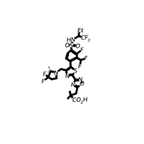 CCC(NS(=O)(=O)c1ccc(-c2sc(-c3noc(CC(C)(C)C(=O)O)n3)nc2CN2CCC(F)(F)[C@@H]2C)c(C(F)F)c1F)C(F)(F)F